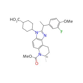 COC(=O)N1c2ccc3c(nc(C(C)c4ccc(OC)c(F)c4)n3C3CCC(C(=O)O)CC3)c2CC[C@@H]1C